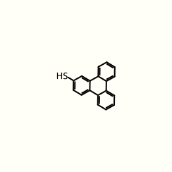 Sc1ccc2c3ccccc3c3ccccc3c2c1